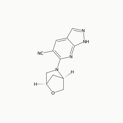 N#Cc1cc2cn[nH]c2nc1N1C[C@H]2C[C@@H]1CO2